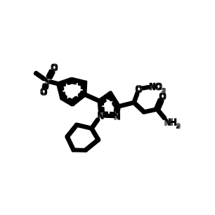 CS(=O)(=O)c1ccc(-c2cc(C(CC(N)=O)O[N+](=O)[O-])nn2C2CCCCC2)cc1